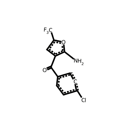 Nc1oc(C(F)(F)F)cc1C(=O)c1ccc(Cl)cc1